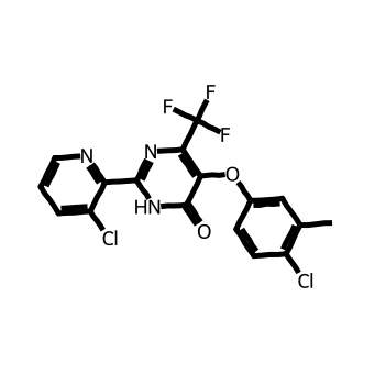 Cc1cc(Oc2c(C(F)(F)F)nc(-c3ncccc3Cl)[nH]c2=O)ccc1Cl